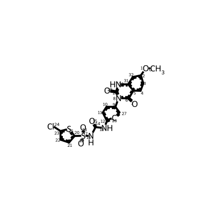 COc1ccc2c(=O)n(-c3ccc(NC(=O)NS(=O)(=O)c4ccc(Cl)s4)cc3)c(=O)[nH]c2c1